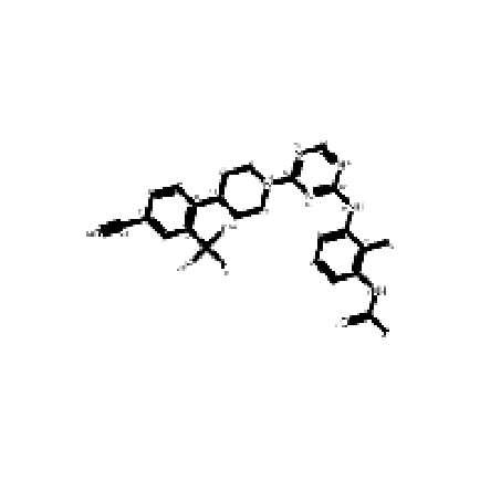 CC(=O)Nc1cccc(Nc2ncnc(N3CCC(c4ccc(C#N)cc4C(F)(F)F)CC3)n2)c1C